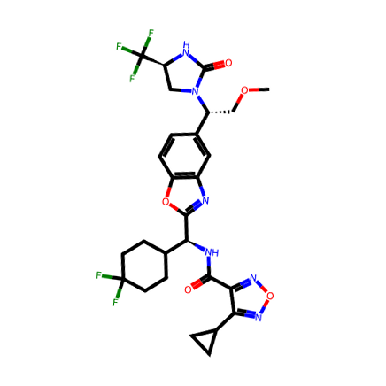 COC[C@H](c1ccc2oc([C@@H](NC(=O)c3nonc3C3CC3)C3CCC(F)(F)CC3)nc2c1)N1C[C@@H](C(F)(F)F)NC1=O